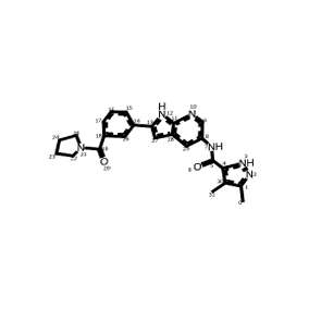 Cc1n[nH]c(C(=O)Nc2cnc3[nH]c(-c4cccc(C(=O)N5CCCC5)c4)cc3c2)c1C